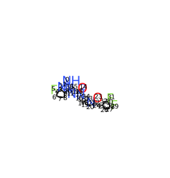 Nc1nc2c(F)cccc2c2nc(C(=O)N3CCC4(CCN(C(=O)Cc5ccc(F)c(F)c5)C4)C3)cn12